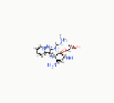 CN(C)CCNc1nn2ccccc2c1/N=C1\C=C(OCCO)C(=N)C=C1N